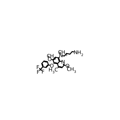 COc1cc(C)c2c(Oc3cccc(C(F)(F)F)c3)c(OC)cc(N(C)CCCCN)c2n1